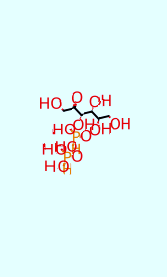 O=C(CO)[C@@H](O)[C@H](O)[C@H](O)CO.O=[PH](O)O.O=[PH](O)O